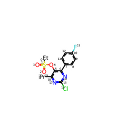 CCS(=O)(=O)Oc1c(-c2ccc(F)cc2)nc(Cl)nc1C(C)C